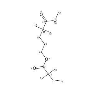 CCC(C)(C)C(=O)OCCCC(C)(C)C(=O)OC